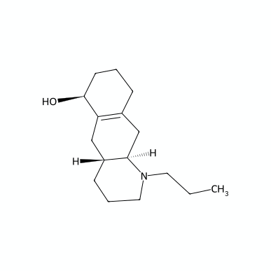 CCCN1CCC[C@@H]2CC3=C(CCC[C@@H]3O)C[C@H]21